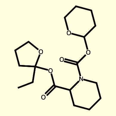 CCC1(OC(=O)C2CCCCN2C(=O)OC2CCCCO2)CCCO1